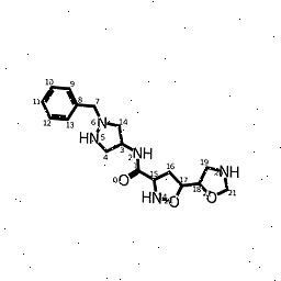 O=C(NC1CNN(Cc2ccccc2)C1)C1CC(C2CNCO2)ON1